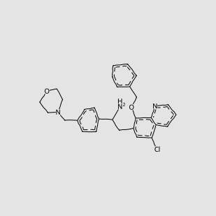 NC(Cc1cc(Cl)c2cccnc2c1OCc1ccccc1)c1ccc(CN2CCOCC2)cc1